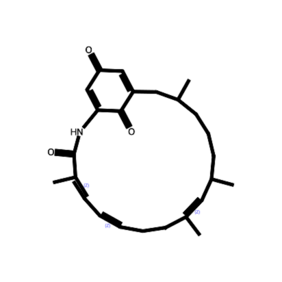 C/C1=C/C(C)CCCC(C)CC2=CC(=O)C=C(NC(=O)/C(C)=C\C=C/C[CH]1)C2=O